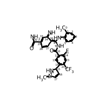 Cc1ccccc1N/C(NC(=O)c1cc(C2C=CN(C)N2)c(C(F)(F)F)cc1F)=C1/C=CC(C(N)=O)=CC1=N